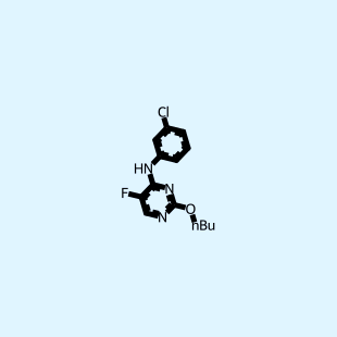 CCCCOc1ncc(F)c(Nc2cccc(Cl)c2)n1